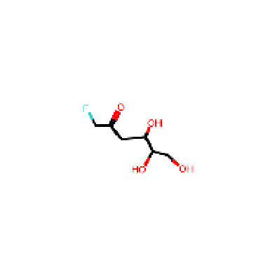 O=C(CF)CC(O)C(O)CO